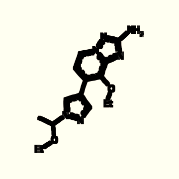 CCOc1c(-c2cnn(C(C)OCC)c2)ccn2nc(N)nc12